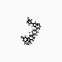 C[C@@H]1CN(c2ncnn3cc(-c4cnn(C)c4)cc23)CCN1c1ncc(C(C)(O)c2ccc(F)cc2)cn1